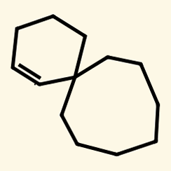 [C]1=CCCCC12CCCCCCC2